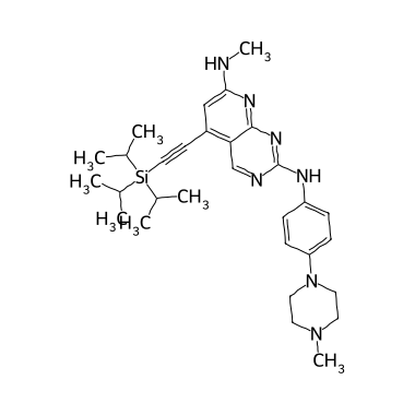 CNc1cc(C#C[Si](C(C)C)(C(C)C)C(C)C)c2cnc(Nc3ccc(N4CCN(C)CC4)cc3)nc2n1